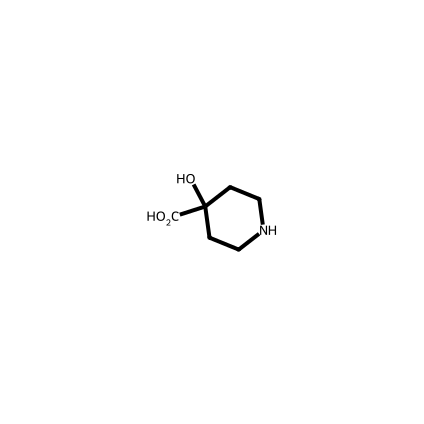 O=C(O)C1(O)CCNCC1